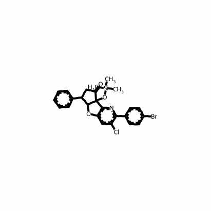 C[Si](C)(C)OC12C(=O)CC(c3ccccc3)C1Oc1cc(Cl)c(-c3ccc(Br)cc3)nc12